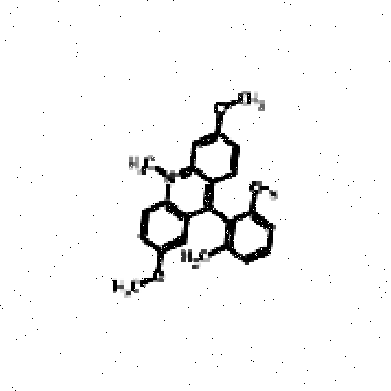 COc1ccc2c(c1)c(-c1c(C)cccc1C)c1ccc(OC)cc1[n+]2C